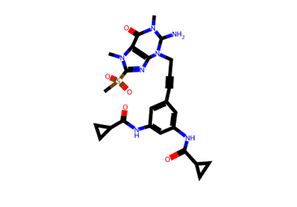 CN1C(=O)c2c(nc(S(C)(=O)=O)n2C)N(CC#Cc2cc(NC(=O)C3CC3)cc(NC(=O)C3CC3)c2)C1N